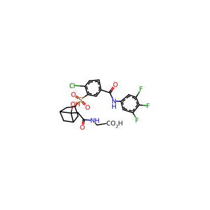 O=C(O)CNC(=O)CC1(O)C2CC1CC(S(=O)(=O)c1cc(C(=O)Nc3cc(F)c(F)c(F)c3)ccc1Cl)C2